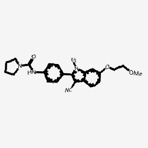 CCn1c(-c2ccc(NC(=O)N3CCCC3)cc2)c(C#N)c2ccc(OCCOC)cc21